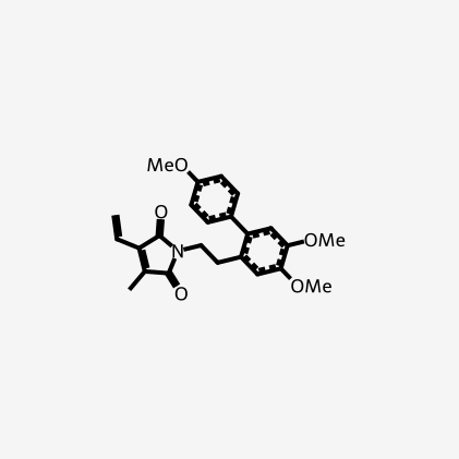 C=CC1=C(C)C(=O)N(CCc2cc(OC)c(OC)cc2-c2ccc(OC)cc2)C1=O